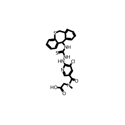 CN(CC(=O)O)C(=O)c1cnc(NNC(=S)NC2c3ccccc3CSc3ccccc32)c(Cl)c1